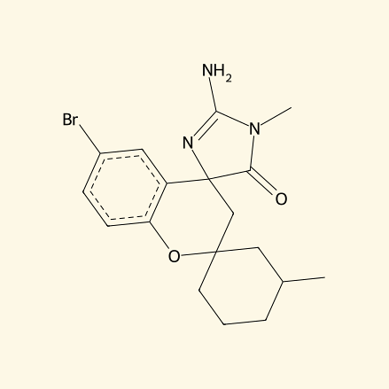 CC1CCCC2(C1)CC1(N=C(N)N(C)C1=O)c1cc(Br)ccc1O2